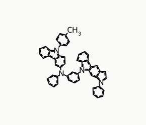 Cc1ccc(-n2c3ccccc3c3cc(N(c4ccccc4)c4cccc(-n5c6ccccc6c6cc7ccn(-c8ccccc8)c7cc65)c4)ccc32)cc1